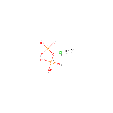 O=P([O-])(O)OP(=O)(O)O.[Cl-].[K+].[K+]